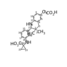 CC1(C)Cc2cc(OC(=O)O)ccc2NC1c1cccc(NC2(C(=O)O)CC2)c1